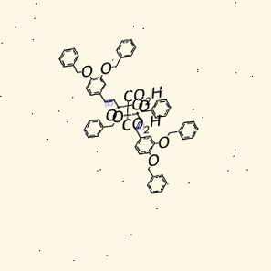 O=C(O)C(OCc1ccccc1)(C(=O)/C=C/c1ccc(OCc2ccccc2)c(OCc2ccccc2)c1)C(OCc1ccccc1)(C(=O)O)C(=O)/C=C/c1ccc(OCc2ccccc2)c(OCc2ccccc2)c1